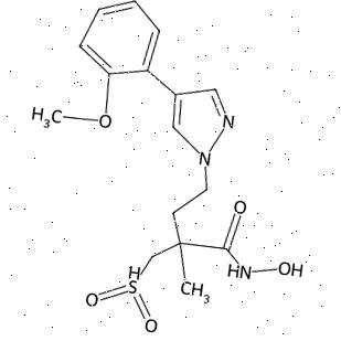 COc1ccccc1-c1cnn(CCC(C)(C[SH](=O)=O)C(=O)NO)c1